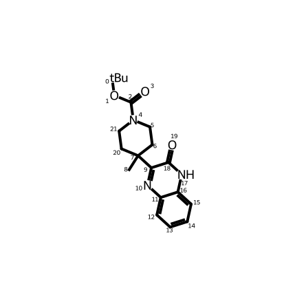 CC(C)(C)OC(=O)N1CCC(C)(c2nc3ccccc3[nH]c2=O)CC1